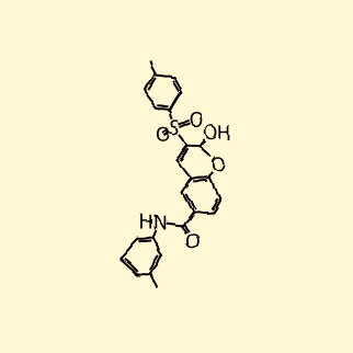 Cc1ccc(S(=O)(=O)C2=Cc3cc(C(=O)Nc4cccc(C)c4)ccc3OC2O)cc1